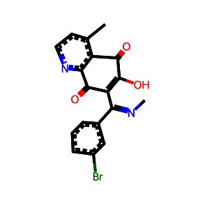 C/N=C(\C1=C(O)C(=O)c2c(C)ccnc2C1=O)c1cccc(Br)c1